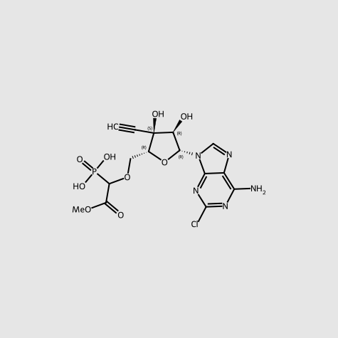 C#C[C@@]1(O)[C@@H](COC(C(=O)OC)P(=O)(O)O)O[C@@H](n2cnc3c(N)nc(Cl)nc32)[C@@H]1O